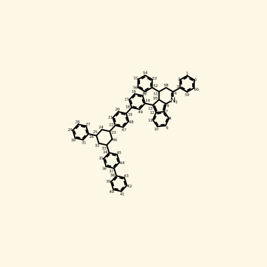 c1ccc(C2=NC3=c4ccccc4=C(c4cccc(-c5ccc(C6CC(c7ccccc7)CC(c7ccc(-c8ccccc8)cc7)C6)cc5)c4)C3C(c3ccccc3)C2)cc1